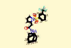 O=C(CC1CCCN1S(=O)(=O)c1cccc(C(F)(F)F)c1)NC12CC3CC(CC(C3)C1)C2